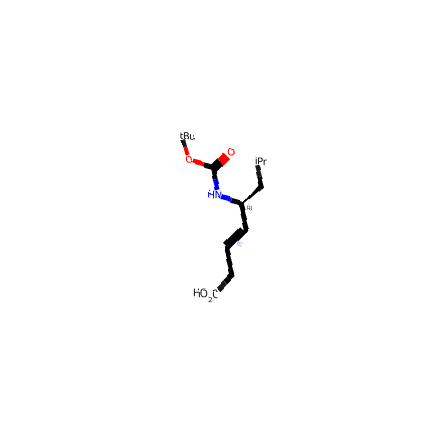 CC(C)C[C@@H](/C=C/CC(=O)O)NC(=O)OC(C)(C)C